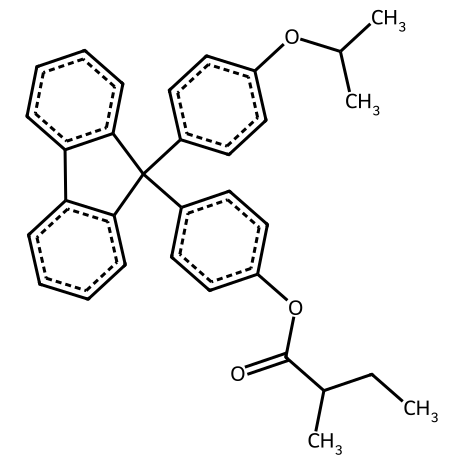 CCC(C)C(=O)Oc1ccc(C2(c3ccc(OC(C)C)cc3)c3ccccc3-c3ccccc32)cc1